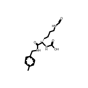 Cc1ccc(CNC(=O)[C@H](CCCCNC=O)NC(=O)O)cc1